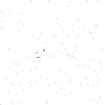 CO[Si](CCCNC(=O)n1cncn1)(OC)OC